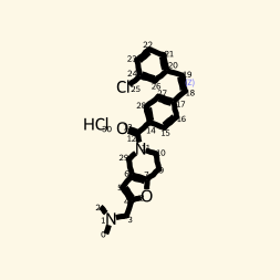 CN(C)Cc1cc2c(o1)CCN(C(=O)c1ccc(/C=C\c3cccc(Cl)c3)cc1)C2.Cl